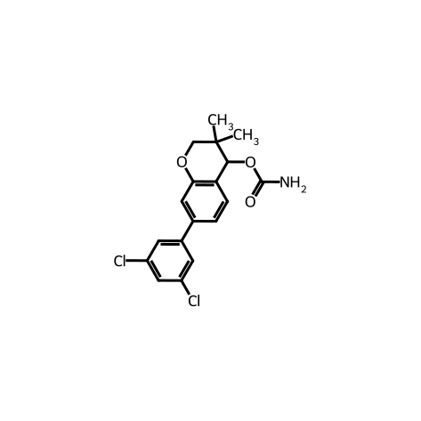 CC1(C)COc2cc(-c3cc(Cl)cc(Cl)c3)ccc2C1OC(N)=O